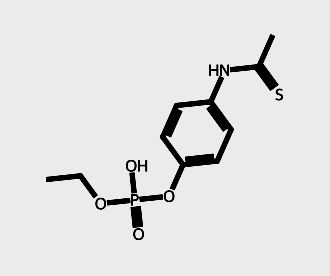 CCOP(=O)(O)Oc1ccc(NC(C)=S)cc1